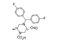 C[C@H]1CN(C(c2ccc(F)cc2)c2ccc(F)cc2)[C@H](C=O)CN1C(=O)O